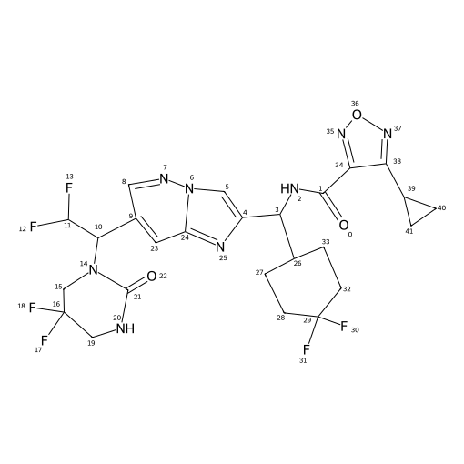 O=C(NC(c1cn2ncc(C(C(F)F)N3CC(F)(F)CNC3=O)cc2n1)C1CCC(F)(F)CC1)c1nonc1C1CC1